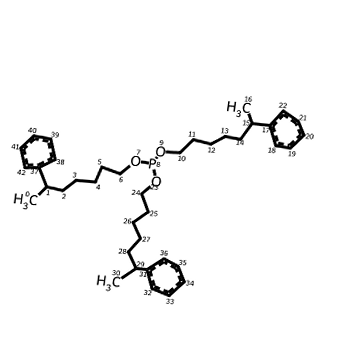 CC(CCCCCOP(OCCCCCC(C)c1ccccc1)OCCCCCC(C)c1ccccc1)c1ccccc1